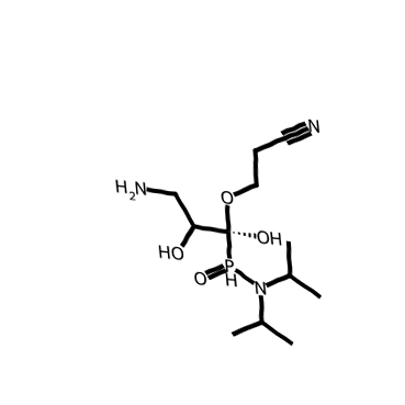 CC(C)N(C(C)C)[PH](=O)[C@](O)(OCCC#N)C(O)CN